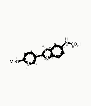 COc1ccc(-c2nc3ccc(NC(=O)O)cc3s2)cn1